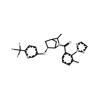 Cc1cccc(C(=O)N2C(C)C3CC2[C@@H](Oc2ccc(C(F)(F)F)nc2)C3)c1-n1nccn1